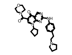 O=C(c1cn(C2CCCC2)c2nc(Nc3ccc(CCN4CCCC4)cc3)ncc2c1=O)N1CCOCC1